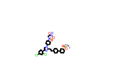 CS(=O)(=O)c1cccc(-c2ccc(C=Cc3nc(-c4ccc(Cl)cc4Cl)cn3-c3ccc(N4CC(=O)NS4(=O)=O)cc3)cc2)c1